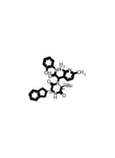 CC[C@H](C)[C@@H]1C(=O)N[C@H](C2Cc3ccccc3C2)C(=O)N1C(C(=O)Nc1ccccc1O)c1ccc(C)nc1C